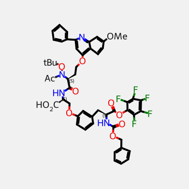 COc1ccc2c(OCC[C@@H](C(=O)N[C@@H](COc3cccc(C[C@H](NC(=O)OCc4ccccc4)C(=O)Oc4c(F)c(F)c(F)c(F)c4F)c3)C(=O)O)N(OC(C)(C)C)C(C)=O)cc(-c3ccccc3)nc2c1